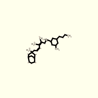 CCCCC1CC(C)CC(PC/C(C)=C(C)\C=C/CC2(C)CC3CCCC(C3)C2)C1